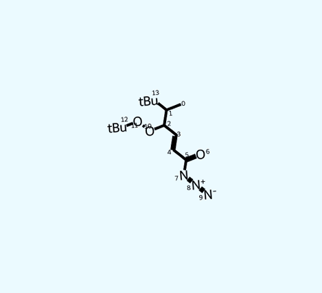 CC(C(/C=C/C(=O)N=[N+]=[N-])OOC(C)(C)C)C(C)(C)C